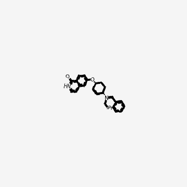 CC(C)CN(Cc1ccccc1)[C@H]1CC[C@H](Oc2ccc3c(=O)[nH]ccc3c2)CC1